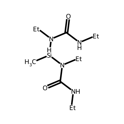 CCNC(=O)N(CC)[SiH](C)N(CC)C(=O)NCC